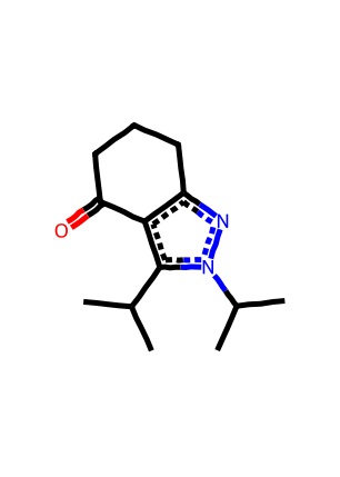 CC(C)c1c2c(nn1C(C)C)CCCC2=O